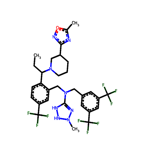 CCC(c1ccc(C(F)(F)F)cc1CN(Cc1cc(C(F)(F)F)cc(C(F)(F)F)c1)C1=NN(C)NN1)N1CCCC(c2noc(C)n2)C1